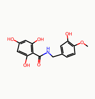 COc1ccc(CNC(=O)c2c(O)cc(O)cc2O)cc1O